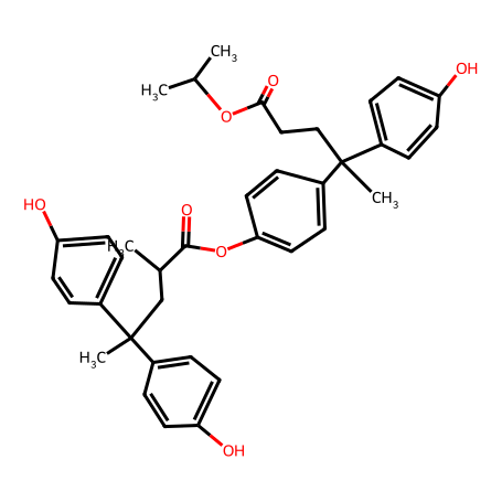 CC(C)OC(=O)CCC(C)(c1ccc(O)cc1)c1ccc(OC(=O)C(C)CC(C)(c2ccc(O)cc2)c2ccc(O)cc2)cc1